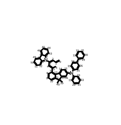 C=C/C=C(\C=C(/C)c1cccc2c1-c1ccc(N(c3ccccc3)c3ccc(-c4ccccc4)cc3)cc1C2(C)C)n1c2ccccc2c2ccccc21